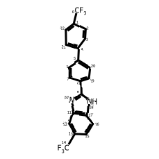 FC(F)(F)c1ccc(-c2ccc(-c3nc4cc(C(F)(F)F)ccc4[nH]3)cc2)cc1